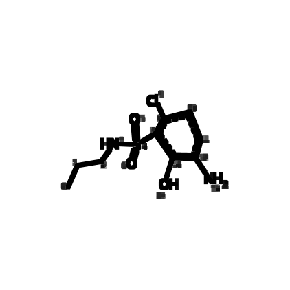 CCCNS(=O)(=O)c1c(Cl)ccc(N)c1O